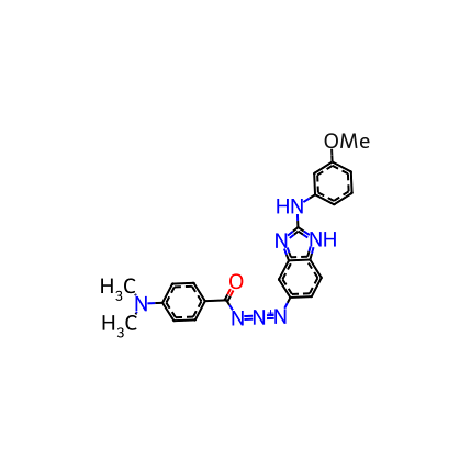 COc1cccc(Nc2nc3cc(N=[N+]=NC(=O)c4ccc(N(C)C)cc4)ccc3[nH]2)c1